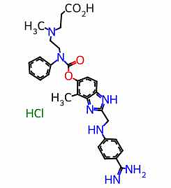 Cc1c(OC(=O)N(CCN(C)CCC(=O)O)c2ccccc2)ccc2[nH]c(CNc3ccc(C(=N)N)cc3)nc12.Cl